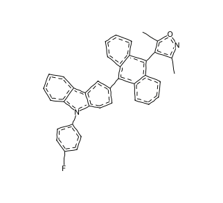 Cc1noc(C)c1-c1c2ccccc2c(-c2ccc3c(c2)c2ccccc2n3-c2ccc(F)cc2)c2ccccc12